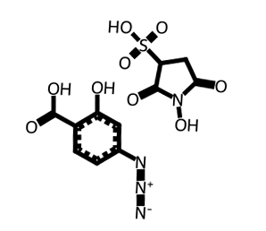 O=C1CC(S(=O)(=O)O)C(=O)N1O.[N-]=[N+]=Nc1ccc(C(=O)O)c(O)c1